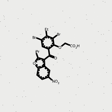 CCc1c(Br)cc(C(=O)c2c(C(C)C)oc3ccc([N+](=O)[O-])cc23)c(OCC(=O)O)c1Br